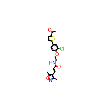 CC(=O)c1ccc(-c2ccc(OCCNC(=O)/C=C/c3c(C)noc3C)c(Cl)c2)s1